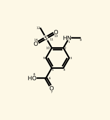 CNc1ccc(C(=O)O)cc1S(C)(=O)=O